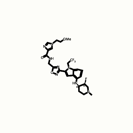 COCCn1cnc(C(=O)NCc2nc(-c3cc4c(N[C@@H]5CCN(C)C[C@@H]5F)cccc4n3CC(F)(F)F)no2)c1